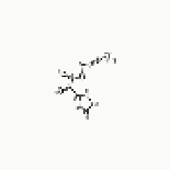 O=C(OCC#CC(F)(F)F)C(=O)N1C=NCC1